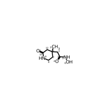 CC1(CC(=O)NO)CCNC(=O)C1